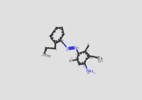 CCCCCCCCCCCCc1ccccc1N=Nc1c(CC)cc(N)c(CC)c1C